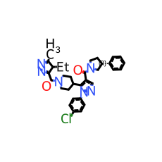 CCC1C(C)=NN=C1C(=O)N1CCC(c2c(C(=O)N3CC[C@H](c4ccccc4)C3)cnn2-c2ccc(Cl)cc2)CC1